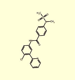 CN(c1ccc(C(=O)Nc2ccc(Cl)c(-c3ccccn3)c2)cc1)S(C)(=O)=O